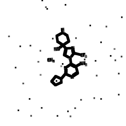 C.Nc1cnc(C2CCCC2)nc1-n1cc(C2(O)CCNCC2)nc1C(F)(F)F